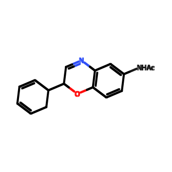 CC(=O)Nc1ccc2c(c1)N=CC(C1C=CC=CC1)O2